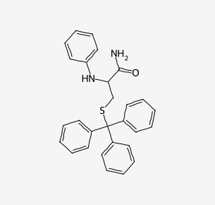 NC(=O)C(CSC(c1ccccc1)(c1ccccc1)c1ccccc1)Nc1ccccc1